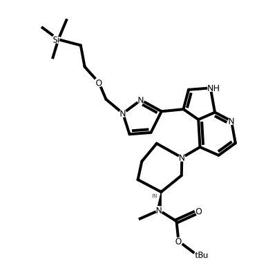 CN(C(=O)OC(C)(C)C)[C@H]1CCCN(c2ccnc3[nH]cc(-c4ccn(COCC[Si](C)(C)C)n4)c23)C1